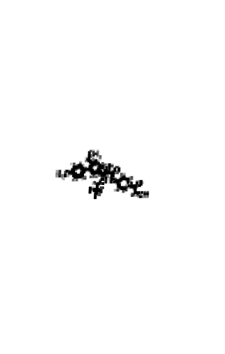 CCc1nc2[nH]c(C(=O)NC3CCN(C(=O)CO)CC3)c(OCC(F)(F)F)c2cc1-c1ccc(C)cc1